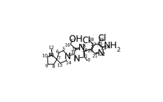 Cc1nc(N2CCC3(CCC[C@H]3C)CC2)c(CO)nc1-c1cnc(N)c(Cl)c1Cl